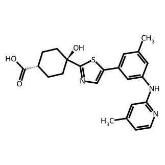 Cc1cc(Nc2cc(C)ccn2)cc(-c2cnc([C@]3(O)CC[C@H](C(=O)O)CC3)s2)c1